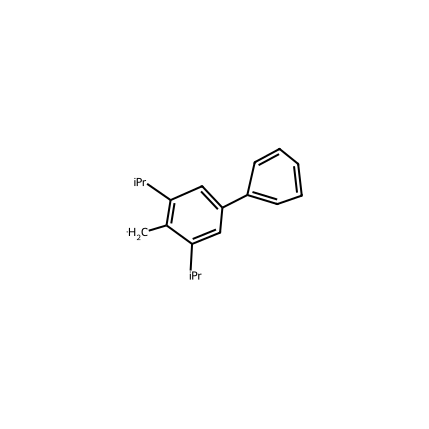 [CH2]c1c(C(C)C)cc(-c2ccccc2)cc1C(C)C